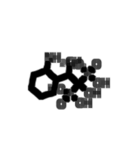 CC(C1CCCCC1N)C(O)(P(=O)(O)O)P(=O)(O)O